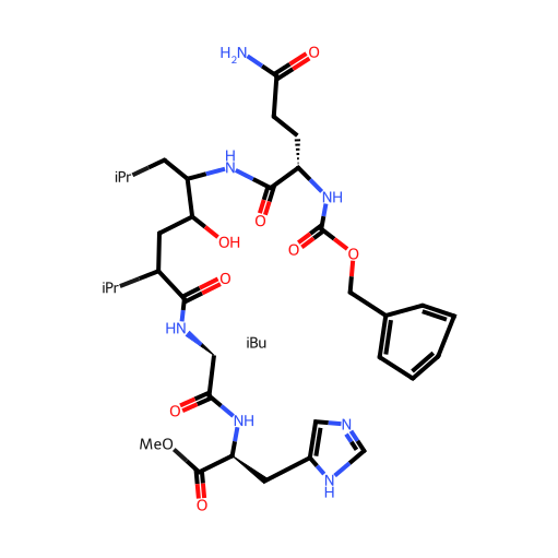 CC[C@H](C)[C@H](NC(=O)C(CC(O)C(CC(C)C)NC(=O)[C@H](CCC(N)=O)NC(=O)OCc1ccccc1)C(C)C)C(=O)N[C@@H](Cc1cnc[nH]1)C(=O)OC